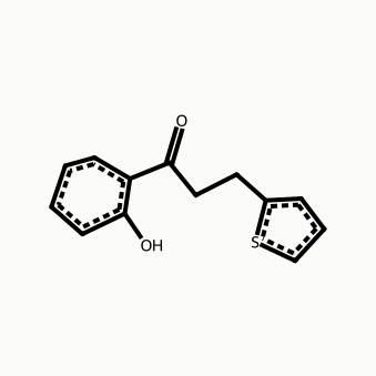 O=C(CCc1cccs1)c1ccccc1O